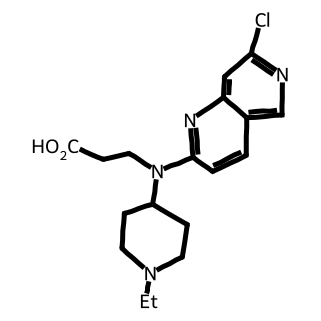 CCN1CCC(N(CCC(=O)O)c2ccc3cnc(Cl)cc3n2)CC1